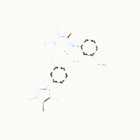 CC1=C(C)N(c2ccc(OCc3c(OC(F)F)cccc3N(N)C(=O)N(C)N)c(C)c2)NC1C